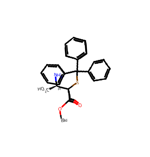 CC(C)(C)OC(=O)C(SC(c1ccccc1)(c1ccccc1)c1ccccc1)[C@H](N)C(=O)O